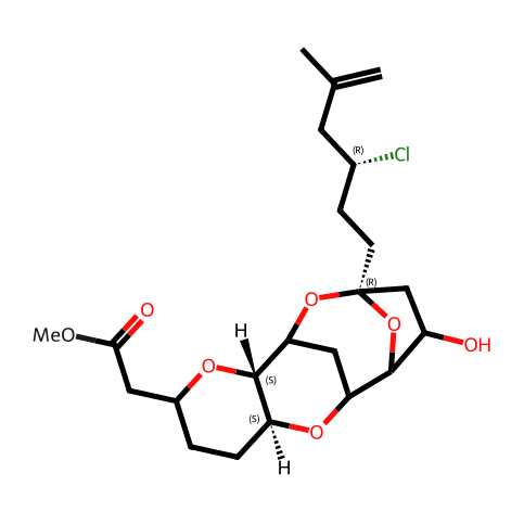 C=C(C)C[C@H](Cl)CC[C@]12CC(O)C(O1)C1CC(O2)[C@H]2OC(CC(=O)OC)CC[C@@H]2O1